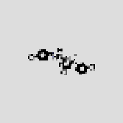 Clc1ccc(/C=N/Nc2nc(Cl)cc(Nc3cccc(Cl)c3)n2)cc1